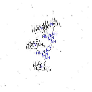 CN1C(C)(C)CC(CCNc2nc(NCCC3CC(C)(C)N(C)C(C)(C)C3)nc(NCCN3CCN(c4nc(NCCC5CC(C)(C)N(C)C(C)(C)C5)nc(NCCC5CC(C)(C)N(C)C(C)(C)C5)n4)CC3)n2)CC1(C)C